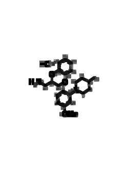 COc1cccc(N2CCC(C)CC2)c1.Cl.NCC1COc2ccccc2O1